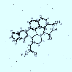 C=C1NC(=O)N(C2CCN(CC(N)=O)CC2)c2c1cnc1ccc(-c3cnc4[nH]ccc4c3)nc21